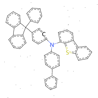 c1ccc(-c2ccc(N(c3ccc(C4(c5ccccc5)c5ccccc5-c5ccccc54)cc3)c3cccc4c3sc3ccccc34)cc2)cc1